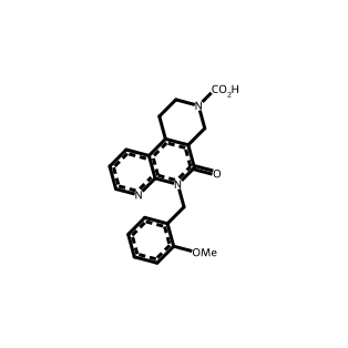 COc1ccccc1Cn1c(=O)c2c(c3cccnc31)CCN(C(=O)O)C2